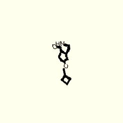 O=c1[nH]ccc2cc(OCC3CCC3)ccc12